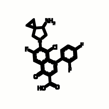 NC1CN(c2c(F)cc3c(=O)c(C(=O)O)cn(-c4ccc(F)cc4F)c3c2Cl)CC12CC2